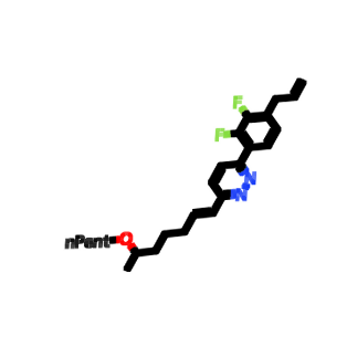 C=CCc1ccc(-c2ccc(C=CCCCC(C)OCCCCC)nn2)c(F)c1F